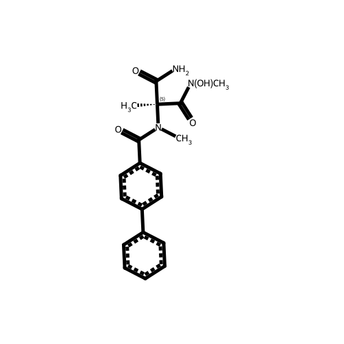 CN(O)C(=O)[C@](C)(C(N)=O)N(C)C(=O)c1ccc(-c2ccccc2)cc1